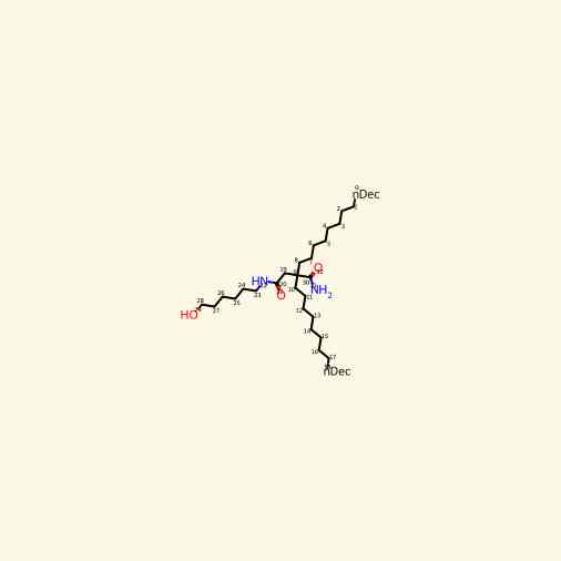 CCCCCCCCCCCCCCCCCCC(CCCCCCCCCCCCCCCCCC)(CC(=O)NCCCCCCO)C(N)=O